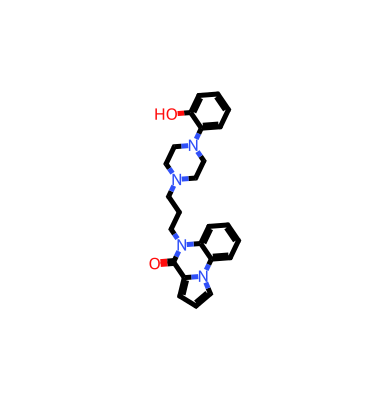 O=c1c2cccn2c2ccccc2n1CCCN1CCN(c2ccccc2O)CC1